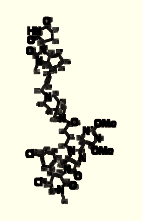 COc1ncc(-c2nc3c(n2CCCC(=O)N2CC4(CCN(CC#Cc5cccc6c5n(C)c(=O)n6C5CCC(=O)NC5=O)CC4)C2)[C@@H](c2ccc(Cl)cc2)N(c2cc(Cl)cn(C)c2=O)C3=O)c(OC)n1